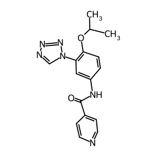 CC(C)Oc1ccc(NC(=O)c2ccncc2)cc1-n1cnnn1